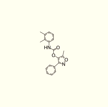 Cc1cccc(NC(=O)Oc2c(-c3ccccc3)noc2C)c1C